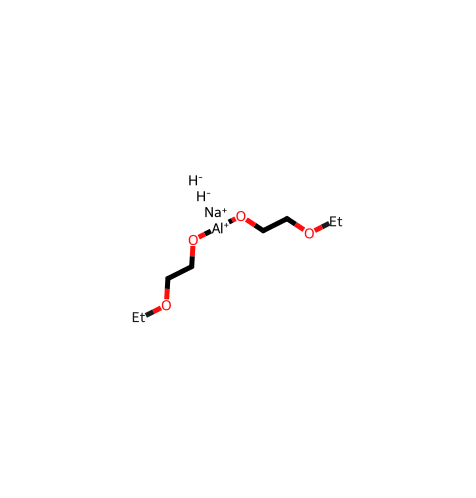 CCOCC[O][Al+][O]CCOCC.[H-].[H-].[Na+]